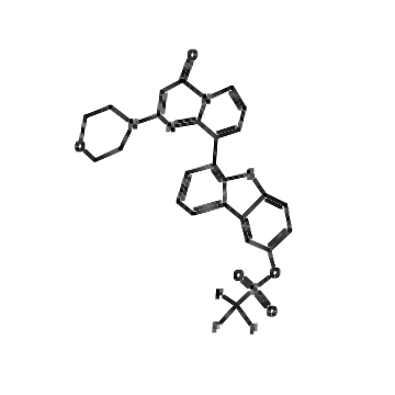 O=c1cc(N2CCOCC2)nc2c(-c3cccc4c3sc3ccc(OS(=O)(=O)C(F)(F)F)cc34)cccn12